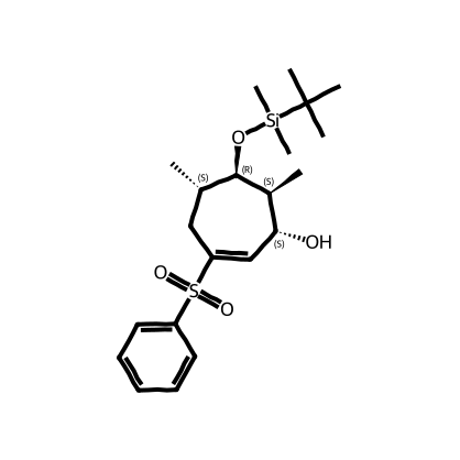 C[C@@H]1[C@H](O[Si](C)(C)C(C)(C)C)[C@@H](C)CC(S(=O)(=O)c2ccccc2)=C[C@H]1O